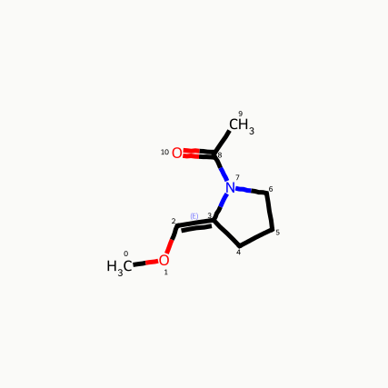 CO/C=C1\CCCN1C(C)=O